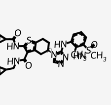 Cc1c(Nc2nncn2[C@H]2CCc3sc(NC(=O)C4CC4)c(C(=O)NCC4CC4)c3C2)cccc1S(C)(=N)=O